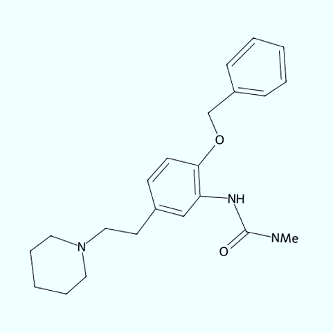 CNC(=O)Nc1cc(CCN2CCCCC2)ccc1OCc1ccccc1